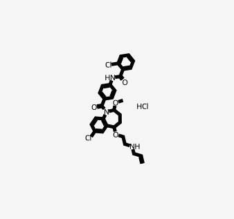 C=CCNCCOC1CCC(OC)N(C(=O)c2ccc(NC(=O)c3ccccc3Cl)cc2)c2ccc(Cl)cc21.Cl